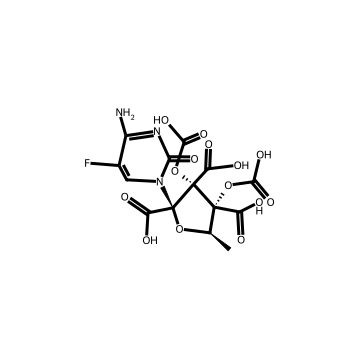 C[C@H]1O[C@@](C(=O)O)(n2cc(F)c(N)nc2=O)[C@@](OC(=O)O)(C(=O)O)[C@@]1(OC(=O)O)C(=O)O